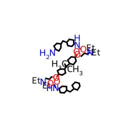 CCN(CC)CC(COC1CCC(C(C)(C)C2CCC(OCC(CN(CC)CC)OC(=O)NC3CCC(CC4CCC(N)CC4)CC3)CC2)CC1)OC(=O)NC1CCC(CC2CCCCC2)CC1